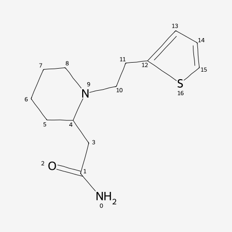 NC(=O)CC1CCCCN1CCc1cccs1